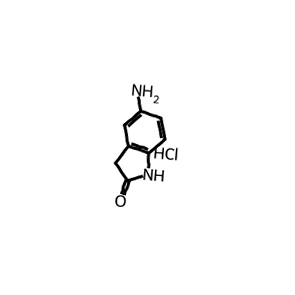 Cl.Nc1ccc2c(c1)CC(=O)N2